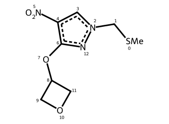 CSCn1cc([N+](=O)[O-])c(OC2COC2)n1